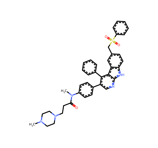 CN1CCN(CCC(=O)N(C)c2ccc(-c3cnc4[nH]c5ccc(CS(=O)(=O)c6ccccc6)cc5c4c3-c3ccccc3)cc2)CC1